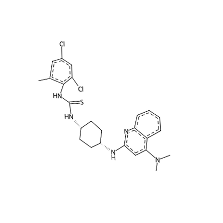 Cc1cc(Cl)cc(Cl)c1NC(=S)N[C@H]1CC[C@@H](Nc2cc(N(C)C)c3ccccc3n2)CC1